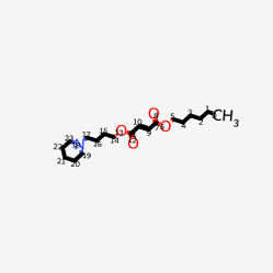 CCCCCCOC(=O)/C=C/C(=O)OCCCCN1CCCCC1